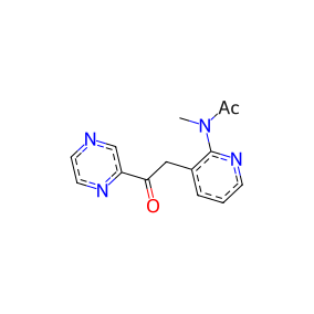 CC(=O)N(C)c1ncccc1CC(=O)c1cnccn1